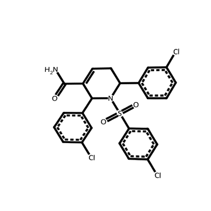 NC(=O)C1=CCC(c2cccc(Cl)c2)N(S(=O)(=O)c2ccc(Cl)cc2)C1c1cccc(Cl)c1